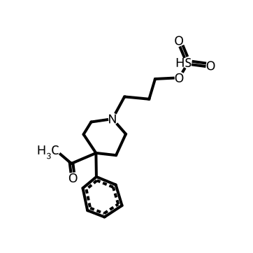 CC(=O)C1(c2ccccc2)CCN(CCCO[SH](=O)=O)CC1